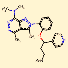 CNCCC(Oc1ccccc1-n1nc2c(N(C)C)nnc(C)c2c1C)c1ccncc1